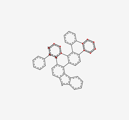 c1ccc(-c2ccccc2-c2ccc3sc4ccccc4c3c2-c2ccc(-c3ccccc3)c(-c3ccccc3-c3ccccc3)c2-c2ccnnn2)cc1